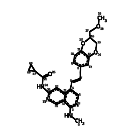 CNc1ncc(C=Cc2ccc3c(c2)OCC(COC)O3)c2cc(NC(=O)C3CC3)ncc12